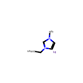 CCCCCCN1C=CN(CCC)C1.I